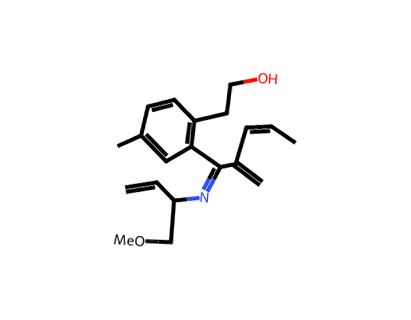 C=CC(COC)/N=C(/C(=C)/C=C\C)c1cc(C)ccc1CCO